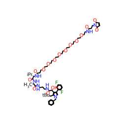 CC(C)[C@H](NC(=O)CCOCCOCCOCCOCCOCCOCCOCCOCCNC(=O)CCN1C(=O)C=CC1=O)C(=O)N[C@@H](C)C(=O)NCCCNC(=O)C(O)c1c(-c2cc(F)ccc2F)cn(Cc2ccccc2)c1CC(C)(C)C